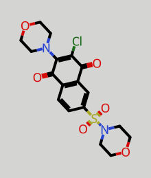 O=C1C(Cl)=C(N2CCOCC2)C(=O)c2ccc(S(=O)(=O)N3CCOCC3)cc21